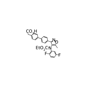 CCOC(=O)N(c1cc(F)ccc1F)c1c(-c2ccc(-c3ccc(CC(=O)O)cc3)cc2)noc1C